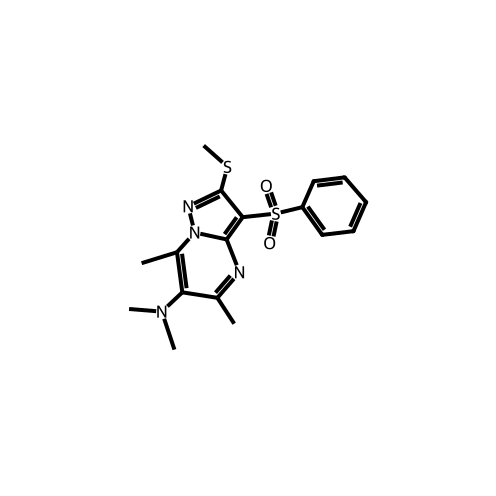 CSc1nn2c(C)c(N(C)C)c(C)nc2c1S(=O)(=O)c1ccccc1